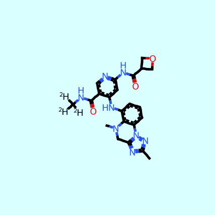 [2H]C([2H])([2H])NC(=O)c1cnc(NC(=O)C2COC2)cc1Nc1cccc2c1N(C)Cc1nc(C)nn1-2